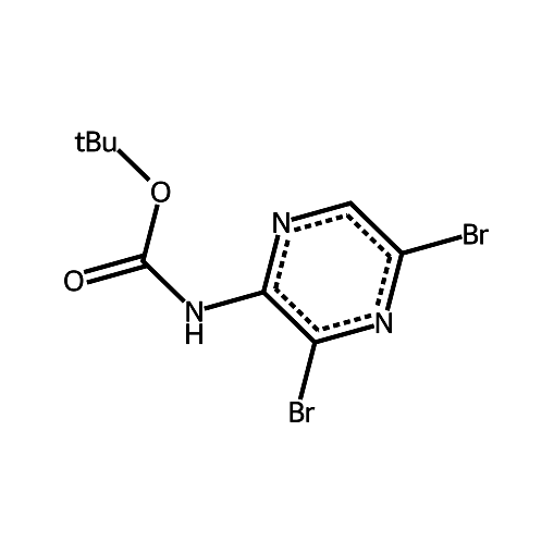 CC(C)(C)OC(=O)Nc1ncc(Br)nc1Br